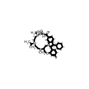 CC(C)N1CCN(C)C2COc3cc(F)ccc3-c3c(C4CCCCC4)c4ccc(cc4n3C2)C(=O)NS(=O)(=O)N(C)CC1